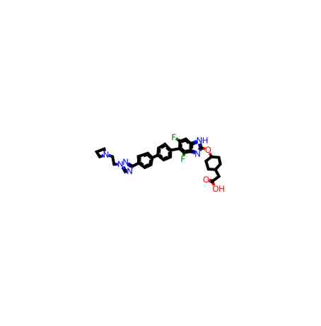 O=C(O)CC1CCC(Oc2nc3c(F)c(-c4ccc(-c5ccc(-c6ncn(CCN7CCC7)n6)cc5)cc4)c(F)cc3[nH]2)CC1